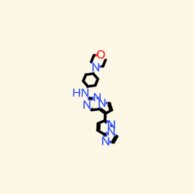 c1cn2nc(-c3ccn4nc(N[C@H]5CC[C@@H](N6CCOCC6)CC5)ncc34)ccc2n1